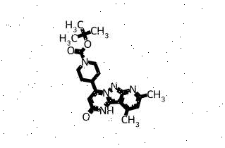 Cc1cc(C)c2c(n1)nn1c(C3CCN(C(=O)OC(C)(C)C)CC3)cc(=O)[nH]c21